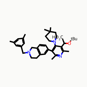 Cc1cc(C)cc(CN2CCc3cc(-c4c(C)nc(C)c(C(OC(C)(C)C)C(=O)O)c4N4CCC(C)(C)CC4)ccc3C2)c1